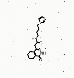 O=C(Cc1n[nH]c(=O)c2c1CCCC2)NCCCCn1ccnc1